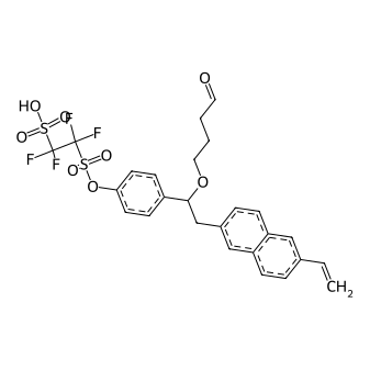 C=Cc1ccc2cc(CC(OCCCC=O)c3ccc(OS(=O)(=O)C(F)(F)C(F)(F)S(=O)(=O)O)cc3)ccc2c1